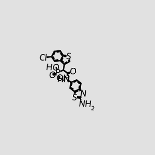 Nc1nc2ccc(NC(=O)C(c3csc4ccc(Cl)cc34)P(=O)(O)O)cc2s1